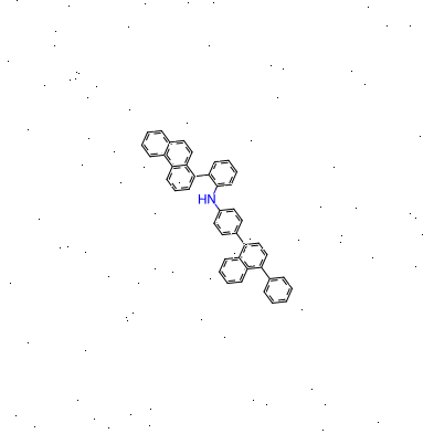 c1ccc(-c2ccc(-c3ccc(Nc4ccccc4-c4cccc5c4ccc4ccccc45)cc3)c3ccccc23)cc1